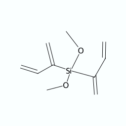 C=CC(=C)[Si](OC)(OC)C(=C)C=C